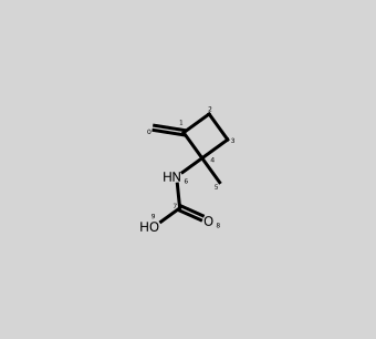 C=C1CCC1(C)NC(=O)O